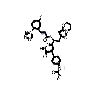 COC(=O)Nc1ccc(-c2cc(C(Cc3cc4n(n3)CCCO4)NC(=O)/C=C/c3cc(Cl)ccc3-n3cnnn3)n[nH]c2=O)cc1